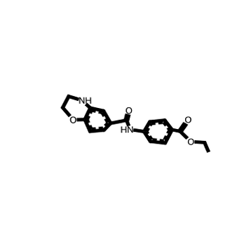 CCOC(=O)c1ccc(NC(=O)c2ccc3c(c2)NCCO3)cc1